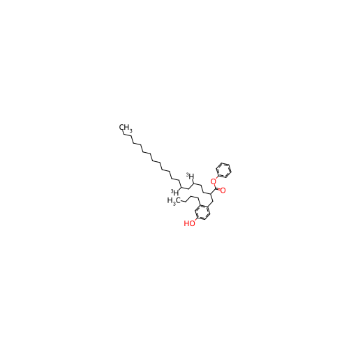 [3H]C(CCCCCCCCCCCCC)CC([3H])CCC(Cc1ccc(O)cc1CCCC)C(=O)Oc1ccccc1